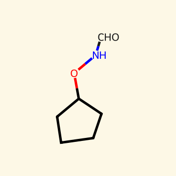 O=CNOC1CCCC1